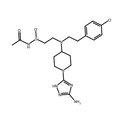 CC(=O)N[S+]([O-])CCN(CCc1ccc(Cl)cc1)C1CCN(c2nc(N)n[nH]2)CC1